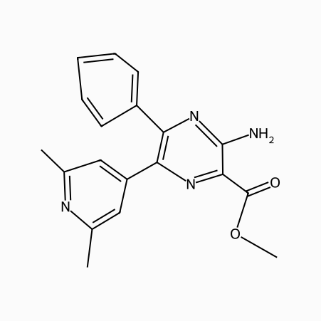 COC(=O)c1nc(-c2cc(C)nc(C)c2)c(-c2ccccc2)nc1N